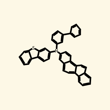 c1ccc(-c2cccc(N(c3ccc4c(ccc5c6ccccc6ccc45)c3)c3ccc4c(c3)sc3ccccc34)c2)cc1